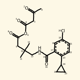 CC(=O)CC(=O)OC(=O)CC(C)(C)CNC(=O)c1cc(Cl)ccc1C1CC1